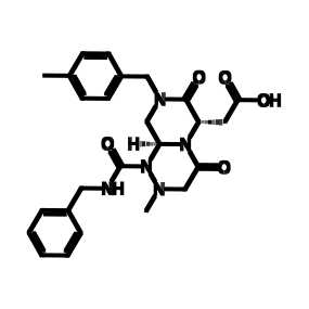 Cc1ccc(CN2C[C@H]3N(C(=O)CN(C)N3C(=O)NCc3ccccc3)[C@@H](CC(=O)O)C2=O)cc1